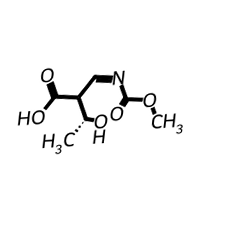 COC(=O)/N=C\C(C(=O)O)[C@@H](C)O